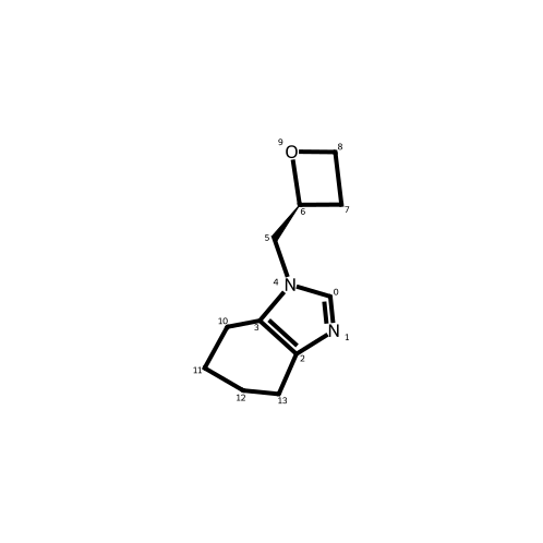 c1nc2c(n1C[C@@H]1CCO1)CCCC2